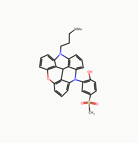 CNCCCN1c2cccc3c2C2c4c(cccc4N(c4cc(S(C)(=O)=O)ccc4O)c4cccc1c42)O3